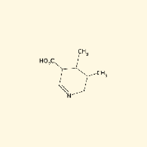 CC1CN=CC(C(=O)O)C1C